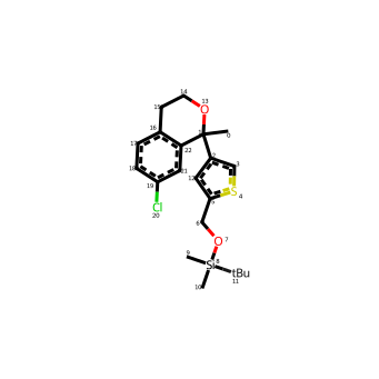 CC1(c2csc(CO[Si](C)(C)C(C)(C)C)c2)OCCc2ccc(Cl)cc21